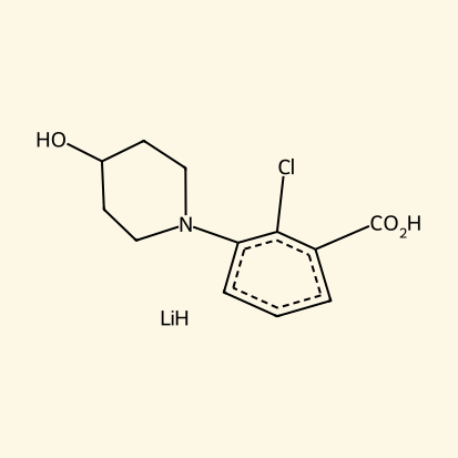 O=C(O)c1cccc(N2CCC(O)CC2)c1Cl.[LiH]